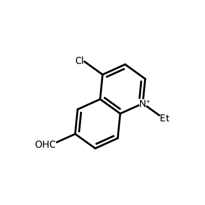 CC[n+]1ccc(Cl)c2cc(C=O)ccc21